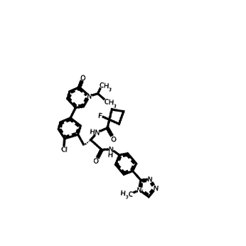 CC(C)n1cc(-c2ccc(Cl)c(C[C@H](NC(=O)C3(F)CCC3)C(=O)Nc3ccc(-c4nncn4C)cc3)c2)ccc1=O